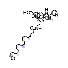 CC/C=C\C/C=C\C/C=C\C/C=C\C/C=C\C/C=C\CCC(=O)NCCSSC(C)(C)[C@@H](CNC[C@@H](O)CO)NC(=O)c1cccnc1